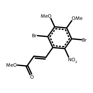 COC(=O)/C=C/c1c(Br)c(OC)c(OC)c(Br)c1[N+](=O)[O-]